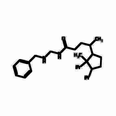 CC(C)C1CCC(C(C)CCC(=O)NCNCc2ccccc2)C1(C)C(C)C